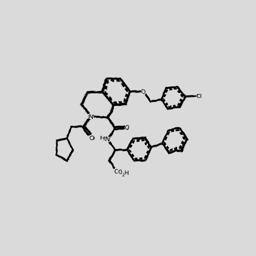 O=C(O)CC(NC(=O)C1c2cc(OCc3ccc(Cl)cc3)ccc2CCN1C(=O)CC1CCCC1)c1ccc(-c2ccccc2)cc1